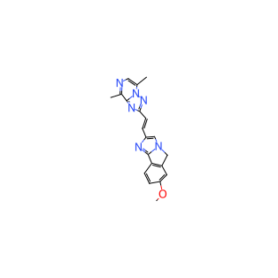 COc1ccc2c(c1)Cn1cc(/C=C/c3nc4c(C)ncc(C)n4n3)nc1-2